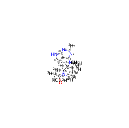 [2H]c1nc(N(C)[C@]2([2H])[C@H](C([2H])([2H])[2H])C([2H])([2H])C([2H])([2H])N(C(=O)C([2H])([2H])[N+]#[C-])C2([2H])[2H])c2cc[nH]c2n1